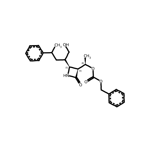 CC(CC(CO)[C@@H]1NC(=O)[C@@H]1[C@@H](C)OC(=O)OCc1ccccc1)c1ccccc1